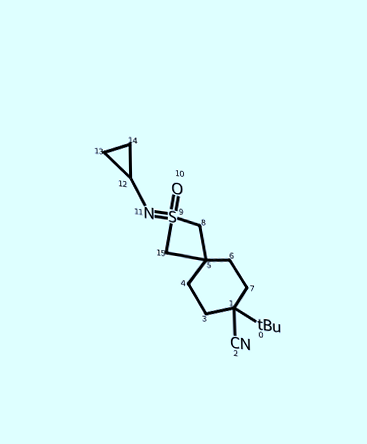 CC(C)(C)C1(C#N)CCC2(CC1)CS(=O)(=NC1CC1)C2